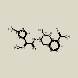 Nc1nc(/C(=N\O)C(=O)N[C@H]2Cc3cccc(C(=O)O)c3OB2O)cs1